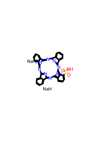 O=S(=O)(O)c1cccc2c3nc4nc(nc5[nH]c(nc6nc(nc([nH]3)c12)-c1ccccc1-6)c1ccccc51)-c1ccccc1-4.[NaH].[NaH]